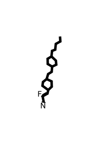 CCCCCC1CCC(CCC2CCC(C=C(F)C#N)CC2)CC1